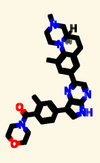 Cc1cc(-c2c[nH]c3ncc(-c4cc(C)c5c(c4)CC[C@@H]4CN(C)CCN54)nc23)ccc1C(=O)N1CCOCC1